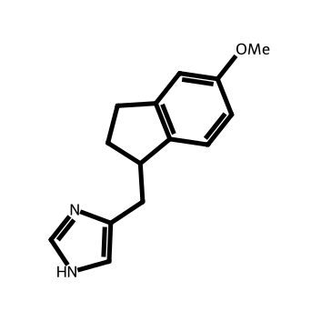 COc1ccc2c(c1)CCC2Cc1c[nH]cn1